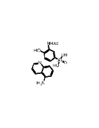 CC(=O)Nc1cc([As](=O)(O)O)ccc1O.Nc1cccc2ncccc12